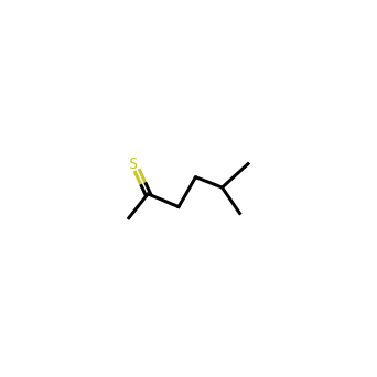 CC(=S)CCC(C)C